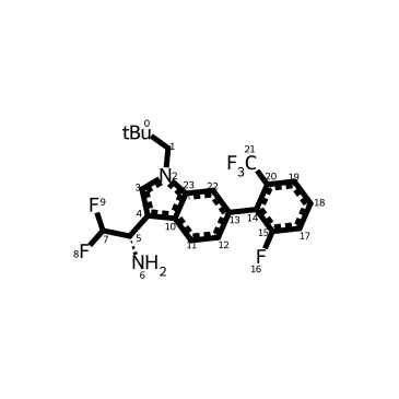 CC(C)(C)Cn1cc([C@H](N)C(F)F)c2ccc(-c3c(F)cccc3C(F)(F)F)cc21